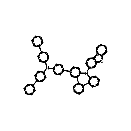 c1ccc(-c2ccc(N(c3ccc(-c4ccccc4)cc3)c3ccc(-c4ccc5c(c4)-c4ccccc4-c4ccccc4N5c4ccc5c(c4)sc4ccccc45)cc3)cc2)cc1